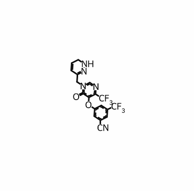 N#Cc1cc(Oc2c(C(F)(F)F)ncn(CC3=NNCC=C3)c2=O)cc(C(F)(F)F)c1